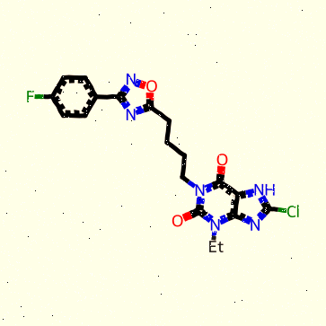 CCn1c(=O)n(CCCCc2nc(-c3ccc(F)cc3)no2)c(=O)c2[nH]c(Cl)nc21